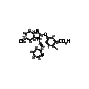 C#Cn1c(Oc2ccc(C)c(C(=O)O)c2)nc2ccc(Cl)cc21.c1ccncc1